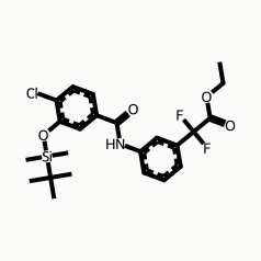 CCOC(=O)C(F)(F)c1cccc(NC(=O)c2ccc(Cl)c(O[Si](C)(C)C(C)(C)C)c2)c1